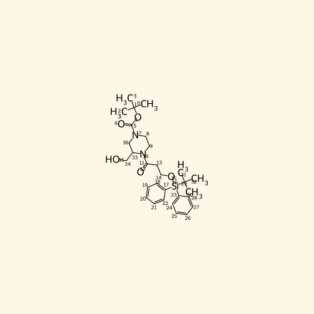 CC(C)(C)OC(=O)N1CCN(C(=O)CCO[Si](c2ccccc2)(c2ccccc2)C(C)(C)C)C(CO)C1